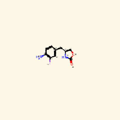 Nc1ccc(C[C@H]2COC(=O)N2)cc1I